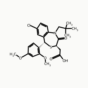 COc1ccc([C@H]2S[C@H](CC(=O)O)C(=O)N(CC(C)(C)C)c3ccc(Cl)cc32)c(OC)c1